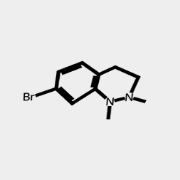 CN1CCc2ccc(Br)cc2N1C